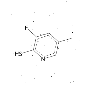 Cc1cnc(S)c(F)c1